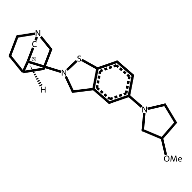 COC1CCN(c2ccc3c(c2)CN([C@@H]2CN4CCC2CC4)S3)C1